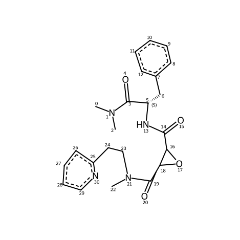 CN(C)C(=O)[C@H](Cc1ccccc1)NC(=O)C1OC1C(=O)N(C)CCc1ccccn1